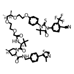 Cc1ncsc1-c1ccc(CNC(=O)[C@@H]2C[C@@H](C)CN2C(=O)[C@@H](NC(=O)COCCO[C@H](C)[C@@H](C)OCCOc2ccc(N3C(=S)N(c4ccc(C#N)c(C(F)(F)F)c4)C(=O)C3(C)C)cc2)C(C)(C)C)cc1